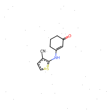 N#Cc1ccsc1NC1=CC(=O)CCC1